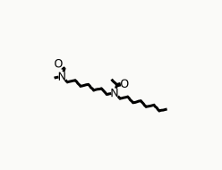 CCCCCCCCN(CCCCCCCN(C)C=O)C(C)=O